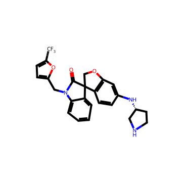 O=C1N(Cc2ccc(C(F)(F)F)o2)c2ccccc2C12COc1cc(N[C@@H]3CCNC3)ccc12